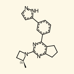 C[C@H]1CCN1c1nc2c(c(-c3cccc(-c4ccn[nH]4)c3)n1)CCC2